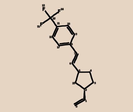 C=C[C@@H]1CCC(/C=C/c2ccc(C(F)(F)F)cc2)C1